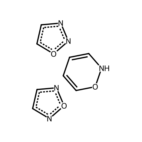 C1=CNOC=C1.c1cnon1.c1conn1